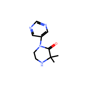 CC1(C)NCCN(c2cncnc2)C1=O